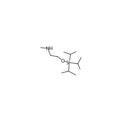 CNCCO[Si](C(C)C)(C(C)C)C(C)C